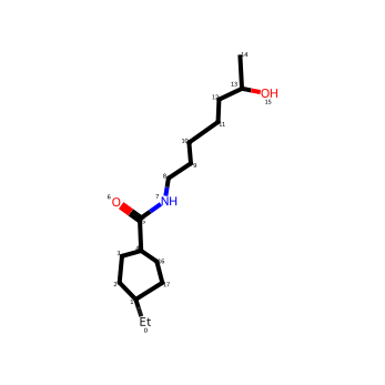 CCC1CCC(C(=O)NCCCCCC(C)O)CC1